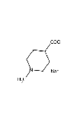 CN1CCC(C(=O)[O-])CC1.[Na+]